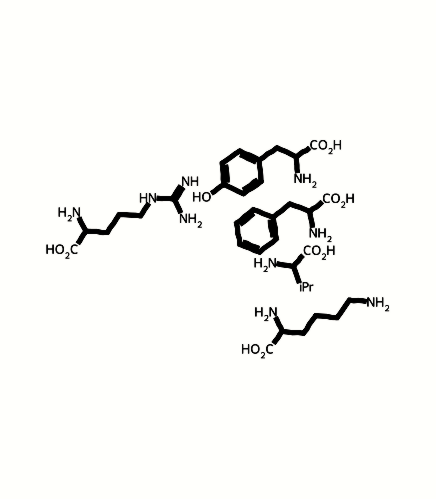 CC(C)C(N)C(=O)O.N=C(N)NCCCC(N)C(=O)O.NC(Cc1ccc(O)cc1)C(=O)O.NC(Cc1ccccc1)C(=O)O.NCCCCC(N)C(=O)O